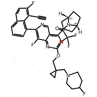 C#Cc1c(F)ccc2c[c]cc(-c3ncc4c(N5C[C@H]6CC[C@@H](C5)N6C(=O)C(F)(F)F)nc(OCC5(CN6CCC(F)CC6)CC5)nc4c3F)c12